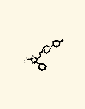 Nc1nc(-c2ccccc2)c(CCN2CCN(c3ccc(F)cc3)CC2)s1